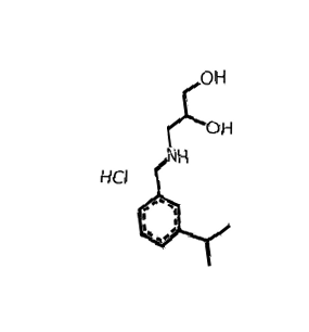 CC(C)c1cccc(CNCC(O)CO)c1.Cl